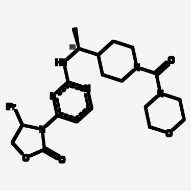 CC(C)C1COC(=O)N1c1ccnc(N[C@@H](C)C2CCN(C(=O)N3CCOCC3)CC2)n1